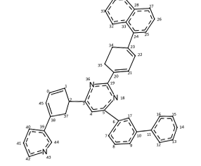 C1=CC(c2cc(-c3cccc(-c4ccccc4)c3)nc(C3=CC=C(c4cccc5ccccc45)CC3)n2)CC(c2cccnc2)=C1